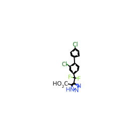 O=C(O)c1[nH]nnc1C(F)(F)c1ccc(-c2ccc(Cl)cc2)c(Cl)c1